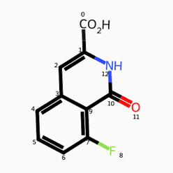 O=C(O)c1cc2cccc(F)c2c(=O)[nH]1